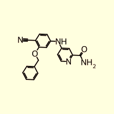 N#Cc1ccc(Nc2ccnc(C(N)=O)c2)cc1OCc1ccccc1